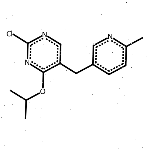 Cc1ccc(Cc2cnc(Cl)nc2OC(C)C)cn1